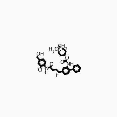 C[N+]1(C)CCC(OC(=O)Nc2cc(CCCC(=O)Nc3ccc(CO)cc3Cl)ccc2-c2ccccc2)CC1.[I-]